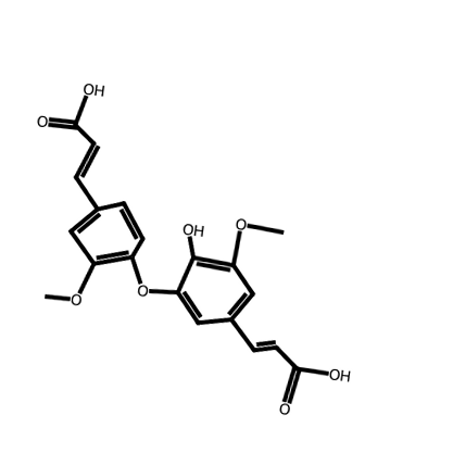 COc1cc(/C=C/C(=O)O)ccc1Oc1cc(/C=C/C(=O)O)cc(OC)c1O